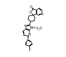 O.O=C1OC2(CCC(c3nc4cnc(-c5ccc(F)cc5)nc4[nH]3)CC2)c2cnccc21